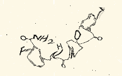 NC(=O)c1cc(CNC(=O)N2CCC3(CC2)CC(=O)c2cc(F)ccc2O3)ccc1F